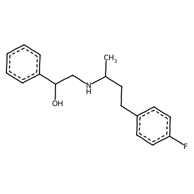 CC(CCc1ccc(F)cc1)NCC(O)c1ccccc1